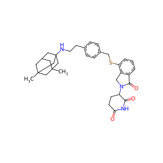 CC12CC3CC(C)(C1)CC(NCCc1ccc(CSc4cccc5c4CN(C4CCC(=O)NC4=O)C5=O)cc1)(C3)C2